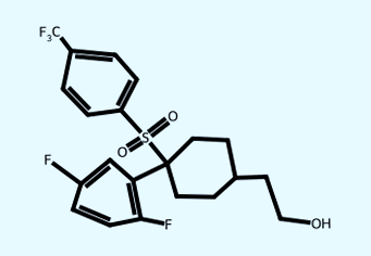 O=S(=O)(c1ccc(C(F)(F)F)cc1)C1(c2cc(F)ccc2F)CCC(CCO)CC1